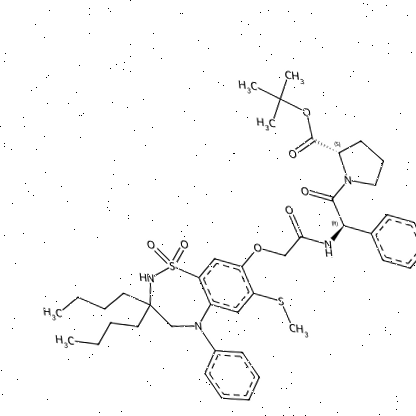 CCCCC1(CCCC)CN(c2ccccc2)c2cc(SC)c(OCC(=O)N[C@@H](C(=O)N3CCC[C@H]3C(=O)OC(C)(C)C)c3ccccc3)cc2S(=O)(=O)N1